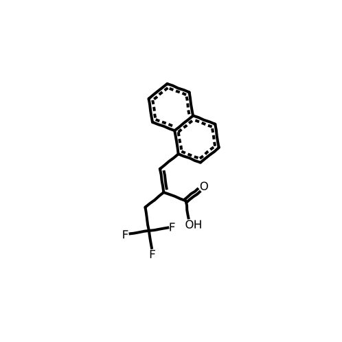 O=C(O)C(=Cc1cccc2ccccc12)CC(F)(F)F